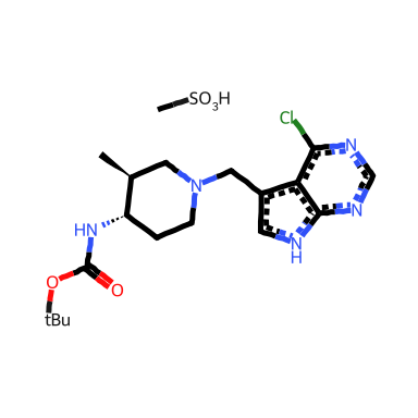 CS(=O)(=O)O.C[C@H]1CN(Cc2c[nH]c3ncnc(Cl)c23)CC[C@@H]1NC(=O)OC(C)(C)C